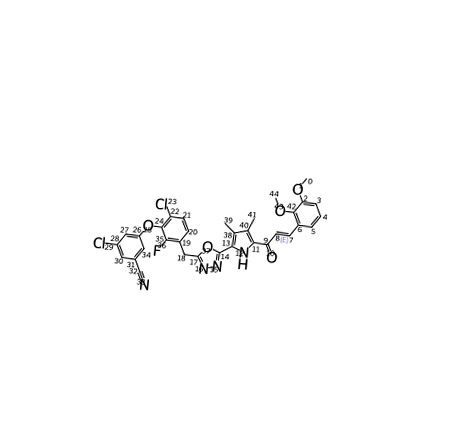 COc1cccc(/C=C/C(=O)c2[nH]c(-c3nnc(Cc4ccc(Cl)c(Oc5cc(Cl)cc(C#N)c5)c4F)o3)c(C)c2C)c1OC